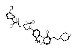 Cc1cc(N2C[C@H](CNC(=O)c3ccc(Cl)s3)OC2=O)ccc1-n1cccc(CCN2CCOCC2)c1=O